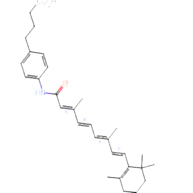 CC1=C(/C=C/C(C)=C/C=C/C(C)=C/C(=O)Nc2ccc(CCCC(=O)O)cc2)C(C)(C)CCC1